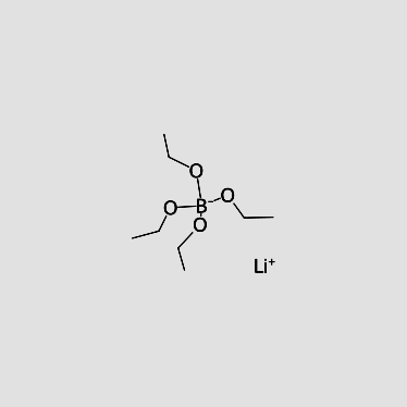 CCO[B-](OCC)(OCC)OCC.[Li+]